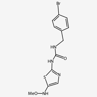 CONc1cnc(NC(=O)NCc2ccc(Br)cc2)s1